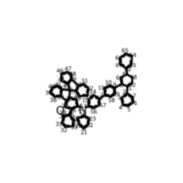 C1=C(c2ccccc2)C(c2ccc(-c3ccc(N(c4ccccc4)c4cc5c(c6oc7ccccc7c46)-c4ccccc4C54c5ccccc5-c5ccccc54)cc3)cc2)=CC(c2ccccc2)C1